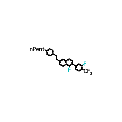 CCCCCc1ccc(CCc2ccc3c(F)c(-c4ccc(C(F)(F)F)c(F)c4)ccc3c2)cc1